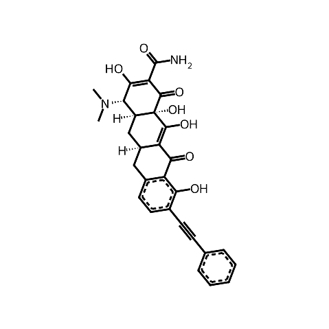 CN(C)[C@@H]1C(O)=C(C(N)=O)C(=O)[C@@]2(O)C(O)=C3C(=O)c4c(ccc(C#Cc5ccccc5)c4O)C[C@H]3C[C@@H]12